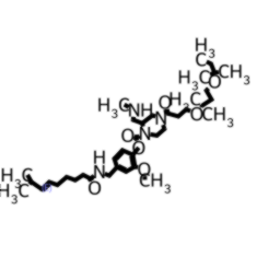 CCC(C)(C)OCCC(C)(C)OCCC(=O)N1CCN(C(=O)Oc2ccc(CNC(=O)CCCC/C=C/C(C)C)cc2OC)C(CNC)C1